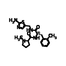 Cc1ccccc1C[C@H](NC(=O)C1CCCN1C)C(=O)NCc1cnc(N)s1